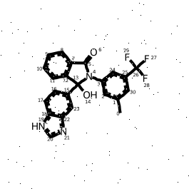 Cc1cc(N2C(=O)c3ccccc3C2(O)c2ccc3[nH][c]nc3c2)cc(C(F)(F)F)c1